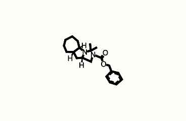 CC1(C)N(C(=O)OCc2ccccc2)C[C@@H]2C[C@@H]3CCCCC[C@H]3N21